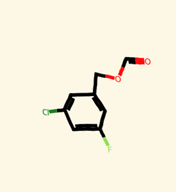 O=COCc1cc(F)cc(Cl)c1